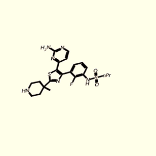 CCCS(=O)(=O)Nc1cccc(-c2nc(C3(C)CCNCC3)sc2-c2ccnc(N)n2)c1F